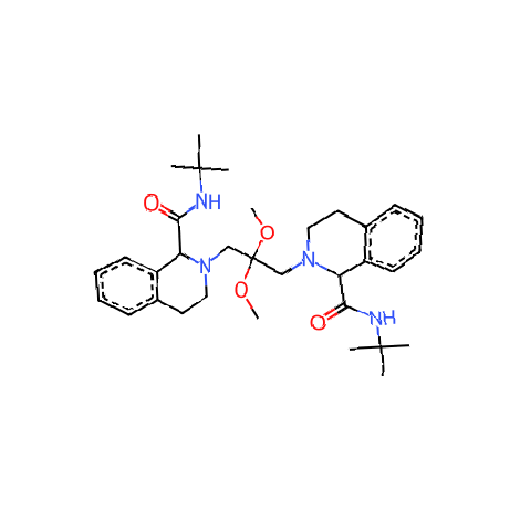 COC(CN1CCc2ccccc2C1C(=O)NC(C)(C)C)(CN1CCc2ccccc2C1C(=O)NC(C)(C)C)OC